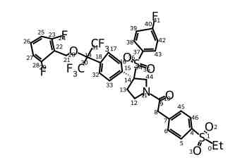 CCS(=O)(=O)c1ccc(CC(=O)N2CC[C@@](c3ccc(C(OCc4c(F)cccc4F)(C(F)(F)F)C(F)(F)F)cc3)(S(=O)(=O)c3ccc(F)cc3)C2)cc1